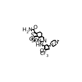 CN1CCN(c2ccc(OC(F)(F)F)c(Nc3ncc4c(n3)-c3c(S(C)(=O)=O)sc(C(N)=O)c3CC4)c2)CC1